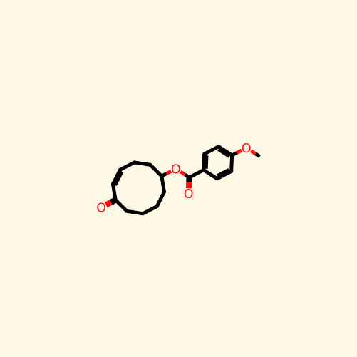 COc1ccc(C(=O)OC2CCC=CC(=O)CCCC2)cc1